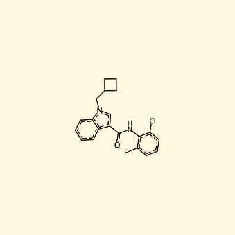 O=C(Nc1c(F)cccc1Cl)c1cn(CC2CCC2)c2ccccc12